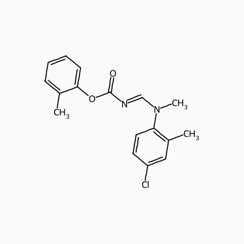 Cc1ccccc1OC(=O)N=CN(C)c1ccc(Cl)cc1C